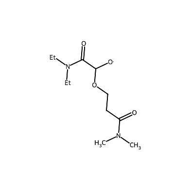 CCN(CC)C(=O)C([O])OCCC(=O)N(C)C